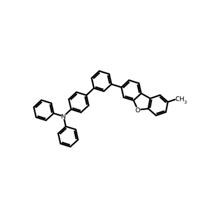 Cc1ccc2oc3cc(-c4cccc(-c5ccc(N(c6ccccc6)c6ccccc6)cc5)c4)ccc3c2c1